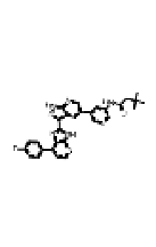 CC(C)(C)CC(=O)Nc1cncc(-c2cnc3[nH]nc(-c4nc5c(-c6ccc(F)cc6)ccnc5[nH]4)c3c2)c1